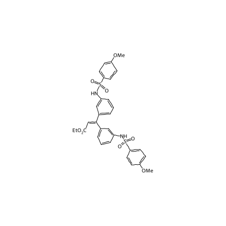 CCOC(=O)C=C(c1cccc(NS(=O)(=O)c2ccc(OC)cc2)c1)c1cccc(NS(=O)(=O)c2ccc(OC)cc2)c1